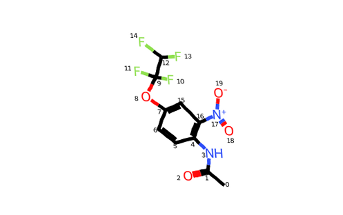 CC(=O)Nc1ccc(OC(F)(F)C(F)F)cc1[N+](=O)[O-]